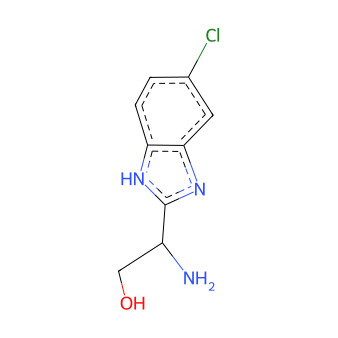 NC(CO)c1nc2cc(Cl)ccc2[nH]1